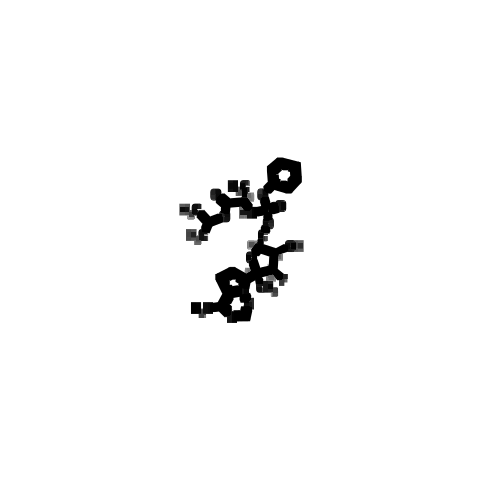 CC(C)OC(=O)[C@H](C)NP(=O)(OC[C@H]1O[C@@](C)(c2ccc3c(N)ncnn23)[C@H](F)[C@@H]1O)Oc1ccccc1